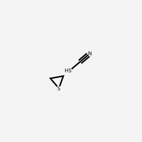 C1CS1.N#CS